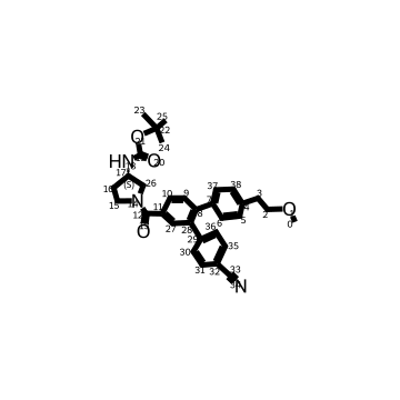 COCCc1ccc(-c2ccc(C(=O)N3CC[C@H](NC(=O)OC(C)(C)C)C3)cc2-c2ccc(C#N)cc2)cc1